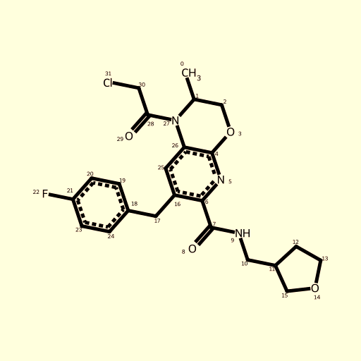 CC1COc2nc(C(=O)NCC3CCOC3)c(Cc3ccc(F)cc3)cc2N1C(=O)CCl